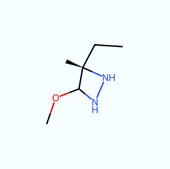 CC[C@]1(C)NNC1OC